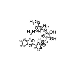 COc1nc(N)nc2c1ncn2C1=C(O)[C@H](O)[C@@H](CO[P@@]2(=O)NC(C(=O)OCc3ccccc3)CCS2)O1